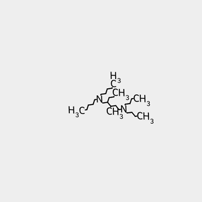 CCCCCN(CCCCC)CC(CCC)C(C)CCN(CCCC)CCCC